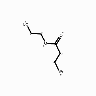 CC(C)[CH]CC(=O)OCCC#N